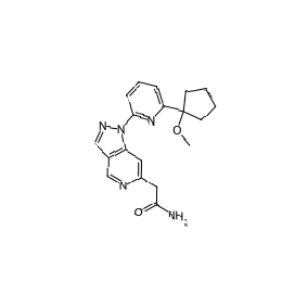 COC1(c2cccc(-n3ncc4cnc(CC(N)=O)cc43)n2)CCCC1